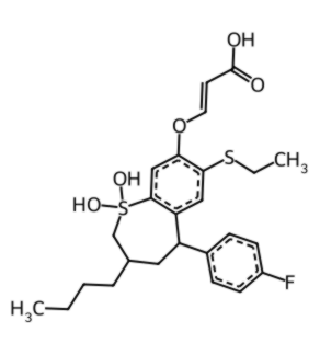 CCCCC1CC(c2ccc(F)cc2)c2cc(SCC)c(O/C=C/C(=O)O)cc2S(O)(O)C1